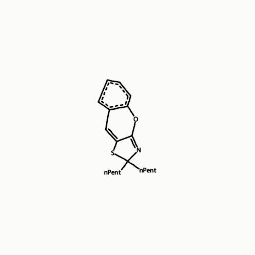 CCCCCC1(CCCCC)N=C2Oc3ccccc3C=C2S1